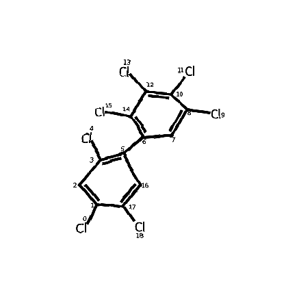 Clc1cc(Cl)c(-c2cc(Cl)c(Cl)c(Cl)c2Cl)cc1Cl